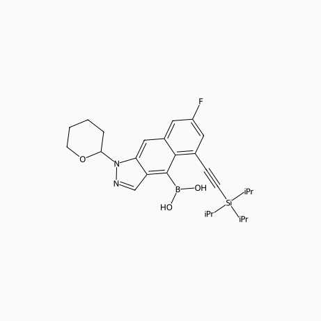 CC(C)[Si](C#Cc1cc(F)cc2cc3c(cnn3C3CCCCO3)c(B(O)O)c12)(C(C)C)C(C)C